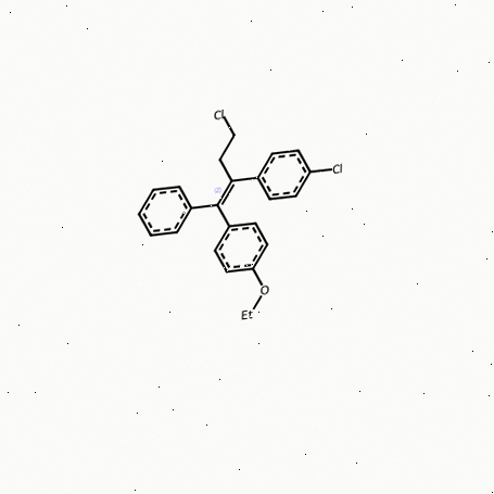 [CH2]COc1ccc(/C(=C(/CCCl)c2ccc(Cl)cc2)c2ccccc2)cc1